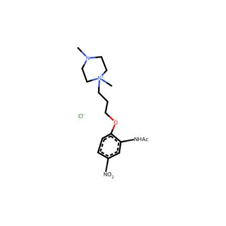 CC(=O)Nc1cc([N+](=O)[O-])ccc1OCCC[N+]1(C)CCN(C)CC1.[Cl-]